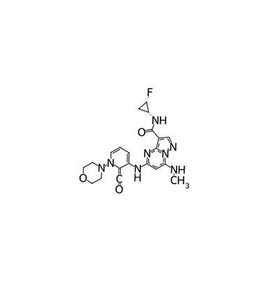 CNc1cc(NC2=CC=CN(N3CCOCC3)C2=C=O)nc2c(C(=O)N[C@@H]3C[C@@H]3F)cnn12